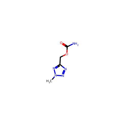 Cn1nnc(COC(N)=O)n1